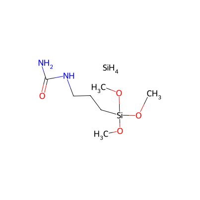 CO[Si](CCCNC(N)=O)(OC)OC.[SiH4]